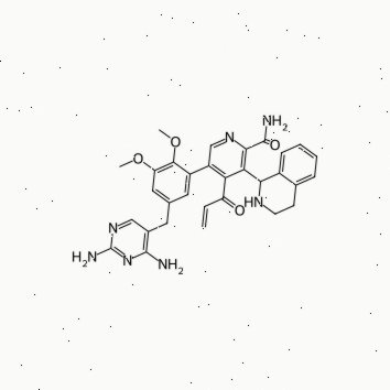 C=CC(=O)c1c(-c2cc(Cc3cnc(N)nc3N)cc(OC)c2OC)cnc(C(N)=O)c1C1NCCc2ccccc21